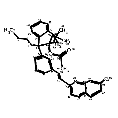 CCCSC(c1cccc(C=Cc2ccc3ccc(Cl)cc3n2)c1)(c1ccccc1C(C)(C)O)C1(OC(C)=O)CC1